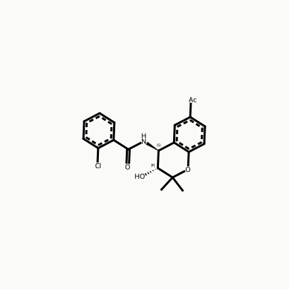 CC(=O)c1ccc2c(c1)[C@H](NC(=O)c1ccccc1Cl)[C@@H](O)C(C)(C)O2